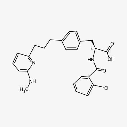 CNc1cccc(CCCc2ccc(C[C@H](NC(=O)c3ccccc3Cl)C(=O)O)cc2)n1